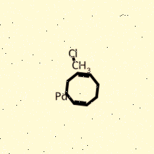 C1=C\CC/C=C\CC/1.CCl.[Pd]